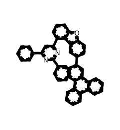 c1ccc(-c2cc(-c3cccc4oc5ccc(-c6ccc7c8ccccc8c8ccccc8c7c6)cc5c34)nc(-c3ccccc3)n2)cc1